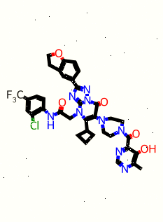 Cc1ncnc(C(=O)N2CCN(c3c(C4CCC4)n(CC(=O)Nc4ccc(C(F)(F)F)cc4Cl)c4nc(-c5ccc6c(c5)CCO6)nn4c3=O)CC2)c1O